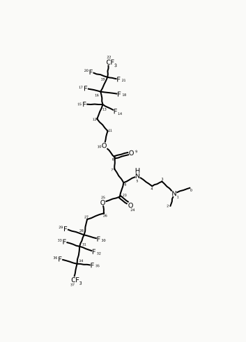 CN(C)CCNC(CC(=O)OCCC(F)(F)C(F)(F)C(F)(F)C(F)(F)F)C(=O)OCCC(F)(F)C(F)(F)C(F)(F)C(F)(F)F